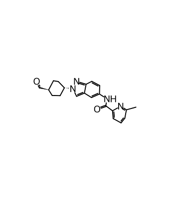 Cc1cccc(C(=O)Nc2ccc3nn([C@H]4CC[C@H](C=O)CC4)cc3c2)n1